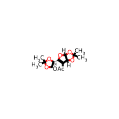 CC(=O)OC1=C([C@@H]2COC(C)(C)O2)O[C@@H]2OC(C)(C)O[C@H]12